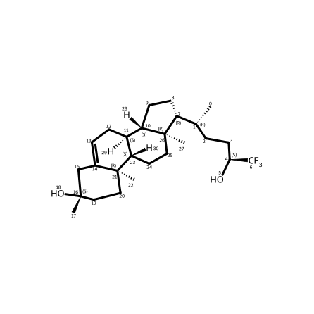 C[C@H](CC[C@H](O)C(F)(F)F)[C@H]1CC[C@H]2[C@@H]3CC=C4C[C@@](C)(O)CC[C@]4(C)[C@H]3CC[C@]12C